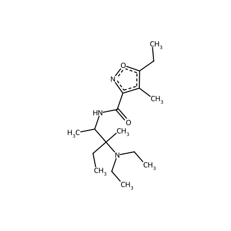 CCc1onc(C(=O)NC(C)C(C)(CC)N(CC)CC)c1C